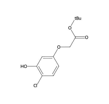 CC(C)(C)OC(=O)COc1ccc(Cl)c(O)c1